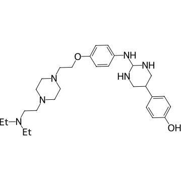 CCN(CC)CCN1CCN(CCOc2ccc(NC3NCC(c4ccc(O)cc4)CN3)cc2)CC1